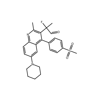 Cc1nc2ccc(N3CCCCC3)cc2c(-c2ccc(S(C)(=O)=O)cc2)c1C(C)(F)C=O